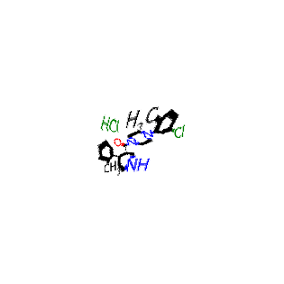 Cc1ccccc1[C@@H]1CCNC[C@H]1C(=O)N1CCN(c2cc(Cl)ccc2C)CC1.Cl